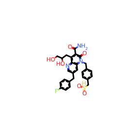 NC(=O)c1c(CC(O)CO)c2ncc(Cc3ccc(F)cc3)cc2n(Cc2ccc(C[SH](=O)=O)cc2)c1=O